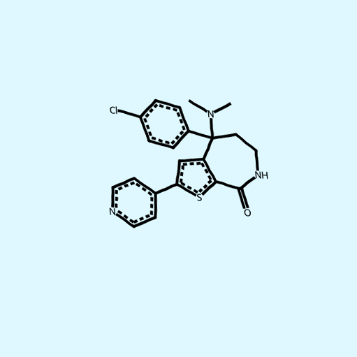 CN(C)C1(c2ccc(Cl)cc2)CCNC(=O)c2sc(-c3ccncc3)cc21